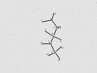 CC(C)N[Si](C)(C)N(C)[Si](C)(C)C